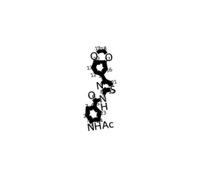 CC(=O)Nc1ccc(C(=O)Nc2nc(-c3ccc4c(c3)OCCO4)cs2)cc1